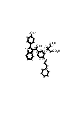 CC(=O)Oc1ccc(-c2sc3ccccc3c2C(=O)c2ccc(OCCN3CCCCC3)cc2)cc1.O=C(O)CC(O)(CC(=O)O)C(=O)O